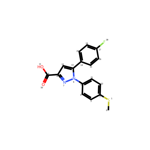 CSc1ccc(-n2nc(C(=O)O)cc2-c2ccc(F)cc2)cc1